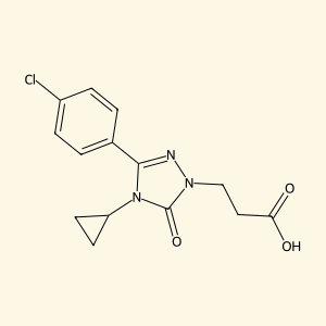 O=C(O)CCn1nc(-c2ccc(Cl)cc2)n(C2CC2)c1=O